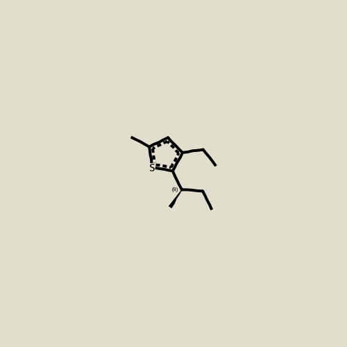 CCc1cc(C)sc1[C@H](C)CC